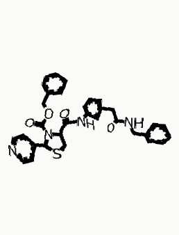 O=C(Cc1cccc(NC(=O)C2CSC(c3ccncc3)N2C(=O)OCc2ccccc2)c1)NCc1ccccc1